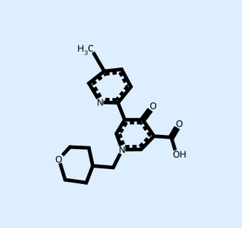 Cc1ccc(-c2cn(CC3CCOCC3)cc(C(=O)O)c2=O)nc1